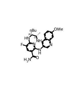 CCCC[C@@H](Nc1nc(Nc2cnc3cc(OC)ccc3c2)c(C(N)=O)cc1F)[C@H](C)N